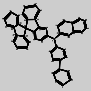 c1ccc(-c2ccc(N(c3ccc4c(c3)-c3ccccc3C43c4ccccc4-c4ccccc43)c3ccc4ccccc4c3)cc2)cc1